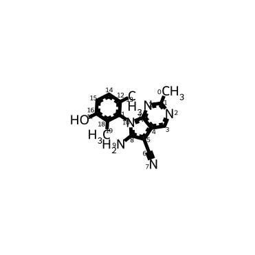 Cc1ncc2c(C#N)c(N)n(-c3c(C)ccc(O)c3C)c2n1